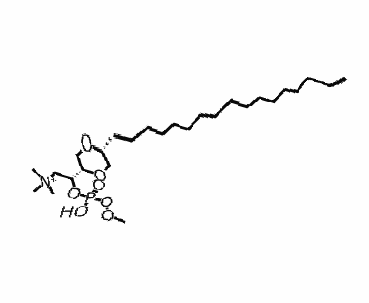 CCCCCCCCCCCCCCCCC[C@@H]1CO[C@H](C(C[N+](C)(C)C)OP(=O)(O)OOC)CO1